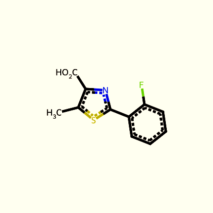 Cc1sc(-c2ccccc2F)nc1C(=O)O